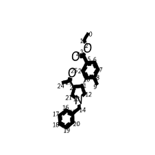 CCOC(=O)c1ccc(C)c([C@@H]2CN(Cc3ccccc3)C[C@H]2C(C)=O)c1